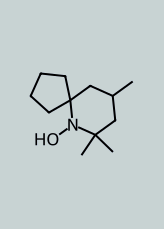 CC1CC(C)(C)N(O)C2(CCCC2)C1